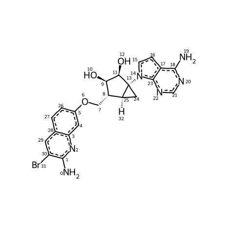 Nc1nc2cc(OC[C@@H]3[C@@H](O)[C@@H](O)[C@@]4(n5ccc6c(N)ncnc65)C[C@@H]34)ccc2cc1Br